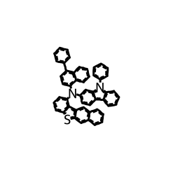 c1ccc(-c2ccc(N(c3ccc4c5ccccc5n(-c5ccccc5)c4c3)c3cccc4sc5cc6ccccc6cc5c34)c3ccccc23)cc1